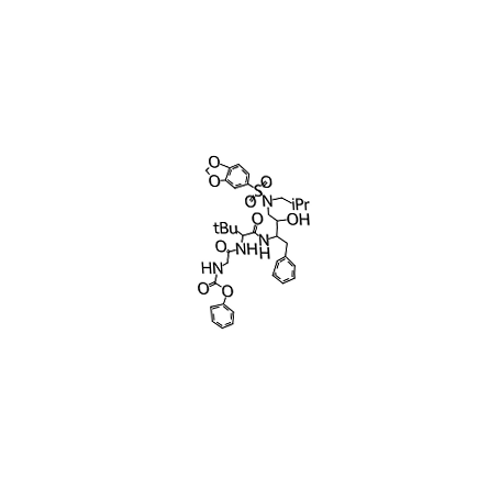 CC(C)CN(CC(O)C(Cc1ccccc1)NC(=O)C(NC(=O)CNC(=O)Oc1ccccc1)C(C)(C)C)S(=O)(=O)c1ccc2c(c1)OCO2